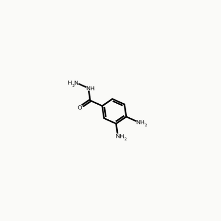 NNC(=O)c1ccc(N)c(N)c1